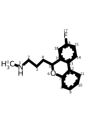 CNCCCC1Oc2ccccc2-c2ccc(F)cc21